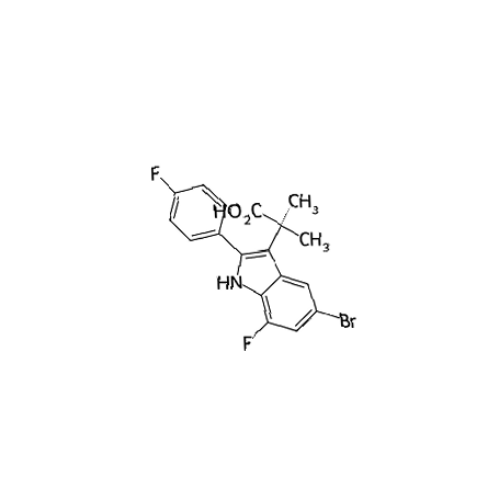 CC(C)(C(=O)O)c1c(-c2ccc(F)cc2)[nH]c2c(F)cc(Br)cc12